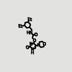 CCC1CC(CC)CC(CNC(=O)COc2nc(=O)[nH]cc2N2CCOCC2)C1